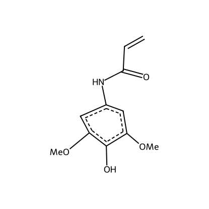 C=CC(=O)Nc1cc(OC)c(O)c(OC)c1